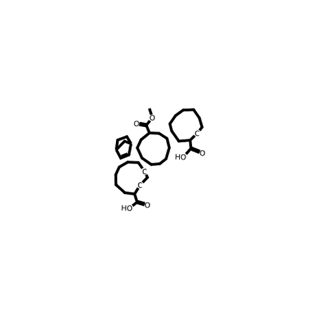 C1=CC2CCC1C2.COC(=O)C1CCCCCCCCC1.O=C(O)C1CCCCCCCCC1.O=C(O)C1CCCCCCCCC1